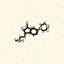 CNCCC1c2ccc(N3CCOCC3)cc2C(C)[C@H]1C